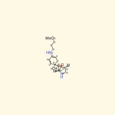 COCCCNC1=CCC(C)([C@H]2O[C@@H]3CN[C@H]2C3)C=C1